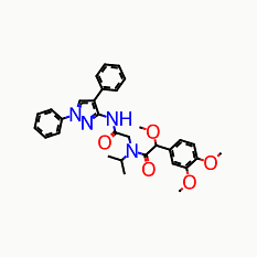 COc1ccc(C(OC)C(=O)N(CC(=O)Nc2nn(-c3ccccc3)cc2-c2ccccc2)C(C)C)cc1OC